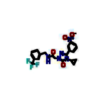 O=C(Cn1nc(-c2cccc([N+](=O)[O-])c2)n(C2CC2)c1=O)NCc1cccc(C(F)(F)F)c1